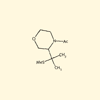 CSC(C)(C)C1COCCN1C(C)=O